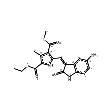 CCOC(=O)c1[nH]c(C=C2C(=O)Nc3ncc(N)cc32)c(C(=O)OC)c1C